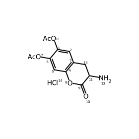 CC(=O)Oc1cc2c(cc1OC(C)=O)OC(=O)C(N)C2.Cl